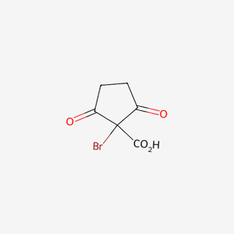 O=C(O)C1(Br)C(=O)CCC1=O